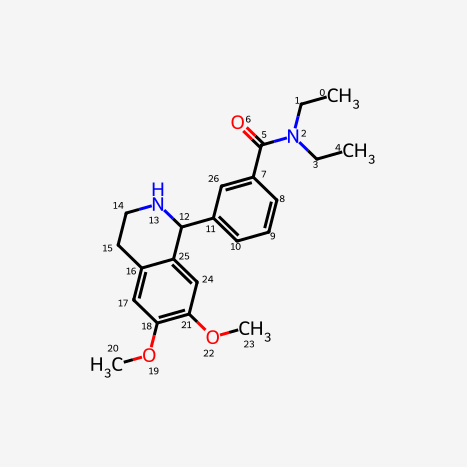 CCN(CC)C(=O)c1cccc(C2NCCc3cc(OC)c(OC)cc32)c1